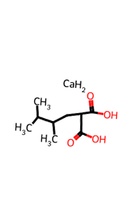 CC(C)C(C)CC(C(=O)O)C(=O)O.[CaH2]